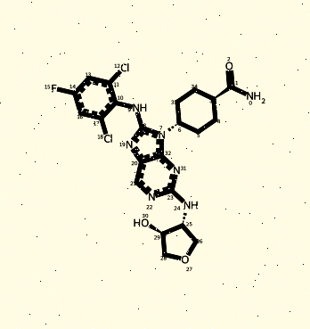 NC(=O)[C@H]1CC[C@H](n2c(Nc3c(Cl)cc(F)cc3Cl)nc3cnc(N[C@@H]4COC[C@H]4O)nc32)CC1